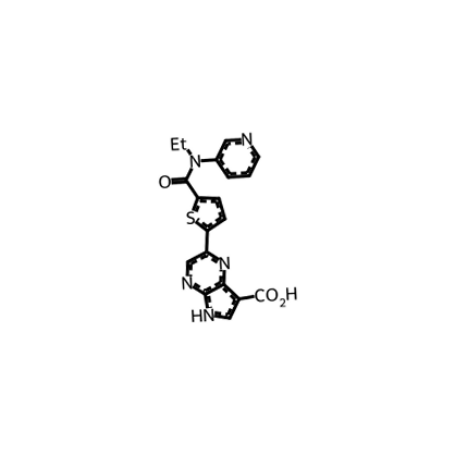 CCN(C(=O)c1ccc(-c2cnc3[nH]cc(C(=O)O)c3n2)s1)c1cccnc1